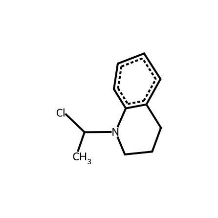 CC(Cl)N1CCCc2ccccc21